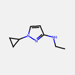 CCNc1ccn(C2CC2)n1